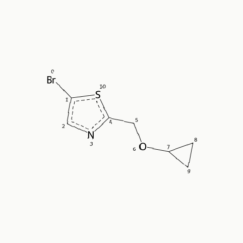 Brc1cnc(COC2CC2)s1